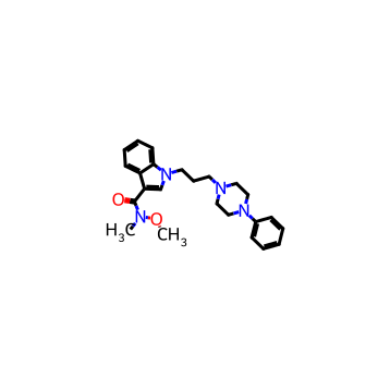 CON(C)C(=O)c1cn(CCCN2CCN(c3ccccc3)CC2)c2ccccc12